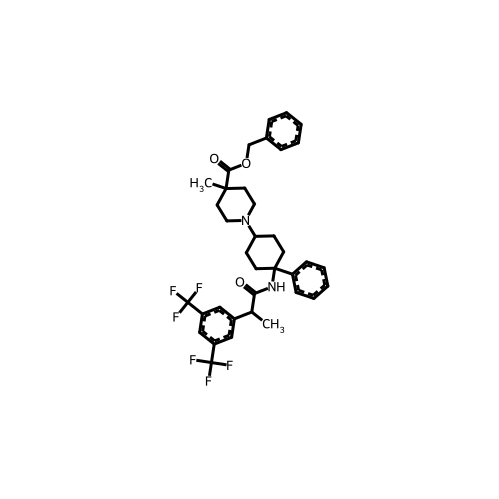 CC(C(=O)NC1(c2ccccc2)CCC(N2CCC(C)(C(=O)OCc3ccccc3)CC2)CC1)c1cc(C(F)(F)F)cc(C(F)(F)F)c1